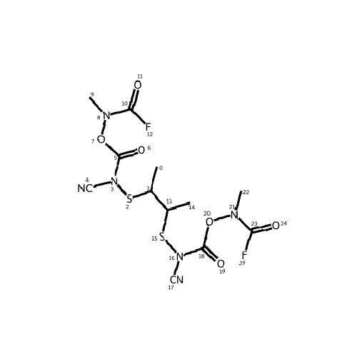 CC(SN(C#N)C(=O)ON(C)C(=O)F)C(C)SN(C#N)C(=O)ON(C)C(=O)F